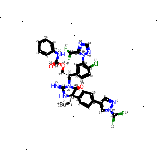 CC(C)(C)C[C@]1(c2ccc(-c3cnn(C(F)F)c3)cc2)NC(=N)N([C@H](COC(=O)Nc2ccccc2)c2ccc(Cl)c(-n3ncnc3C(F)F)c2)C1=O